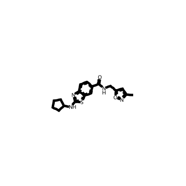 Cc1cc(CNC(=O)c2ccc3nc(NC4CCCC4)sc3c2)on1